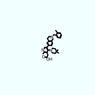 Cc1ccccc1CN1CCc2cc(-c3cnc(C)c(CC(=O)O)c3N3CCC(C)(C)CC3)ccc2C1